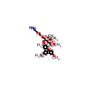 COc1ccc(C(OC[C@@H](OC(C)=O)[C@H](OC(C)=O)[C@H](OC(C)=O)[C@@H](OC(C)=O)C(=O)CCOCCOCCN=[N+]=[N-])(c2ccccc2)c2ccc(OC)cc2)cc1